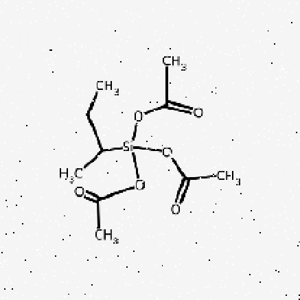 CCC(C)[Si](OC(C)=O)(OC(C)=O)OC(C)=O